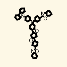 c1ccc2oc(-c3ccc(N(c4ccc(-n5c6ccccc6c6ccccc65)cc4)c4ccc5c(c4)oc4cc6c(cc45)oc4cc(-c5nc7ccccc7o5)ccc46)cc3)nc2c1